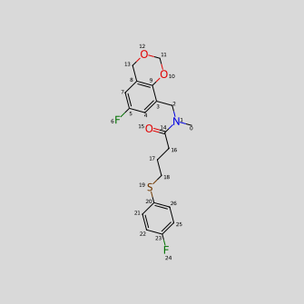 CN(Cc1cc(F)cc2c1OCOC2)C(=O)CCCSc1ccc(F)cc1